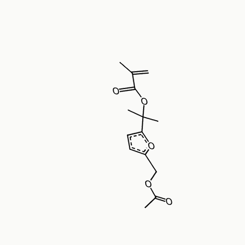 C=C(C)C(=O)OC(C)(C)c1ccc(COC(C)=O)o1